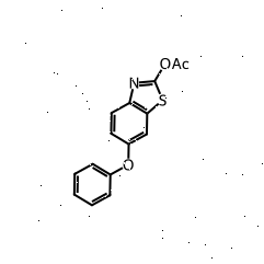 CC(=O)Oc1nc2ccc(Oc3ccccc3)cc2s1